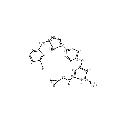 Cc1cccc(Nc2nnc(-c3ccc(Oc4cc(OCC5CC5)nc(N)n4)cc3)[nH]2)c1